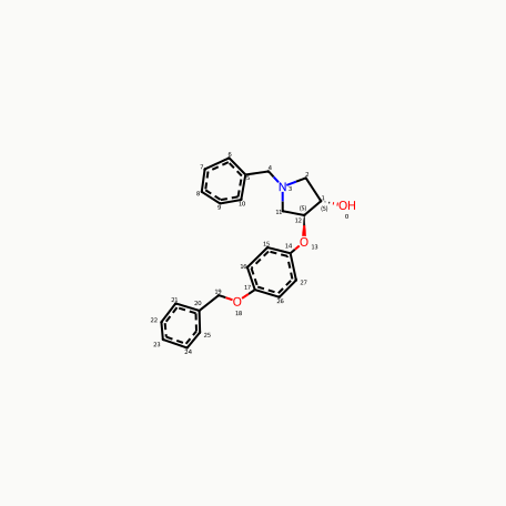 O[C@H]1CN(Cc2ccccc2)C[C@@H]1Oc1ccc(OCc2ccccc2)cc1